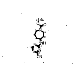 CC(C)(C)OC(=O)N1CCCC(Nc2ncnc(C#N)n2)CC1